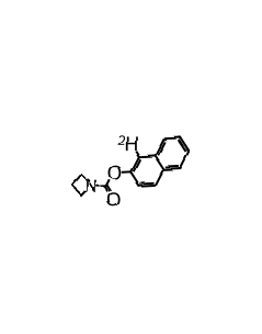 [2H]c1c(OC(=O)N2CCC2)ccc2ccccc12